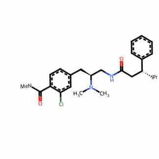 CNC(=O)c1ccc(C[C@@H](CNC(=O)C[C@H](c2ccccc2)C(C)C)N(C)C)cc1Cl